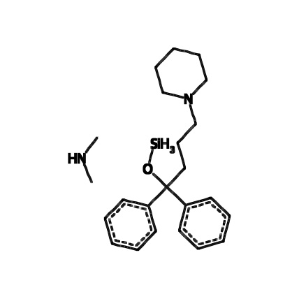 CNC.[SiH3]OC(CCCN1CCCCC1)(c1ccccc1)c1ccccc1